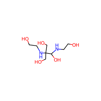 OCCNC(O)C(CO)(CO)NCCO